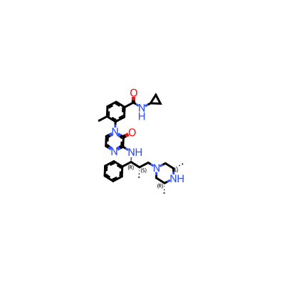 Cc1ccc(C(=O)NC2CC2)cc1-n1ccnc(N[C@@H](c2ccccc2)[C@@H](C)CN2C[C@@H](C)N[C@@H](C)C2)c1=O